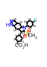 CS(=O)(=O)c1c(-c2ccc(C(=O)O)cc2)c2cc3[nH]ncc3cc2n1-c1ccc(F)cc1